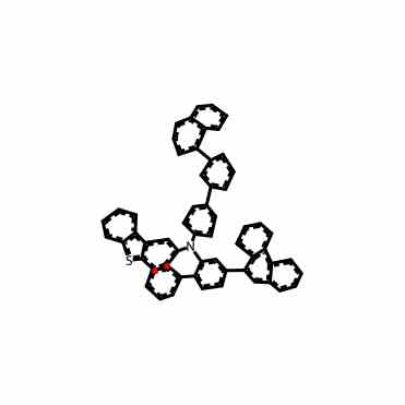 c1ccc(-c2ccc(-c3cc4ccccc4c4ccccc34)cc2N(c2ccc(-c3cccc(-c4cccc5ccccc45)c3)cc2)c2ccc3sc4ccccc4c3c2)cc1